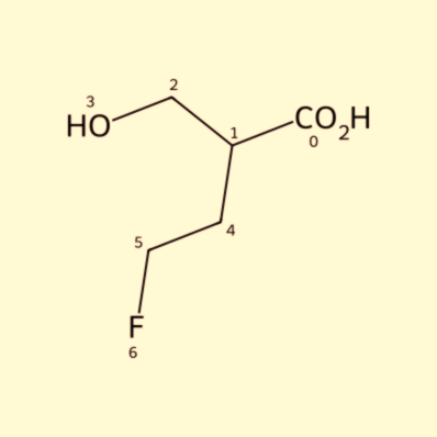 O=C(O)C(CO)CCF